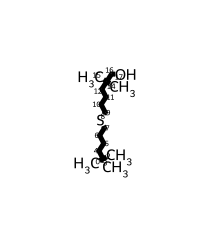 CC(C)(C)CCCCSCCCCC(C)(C)CO